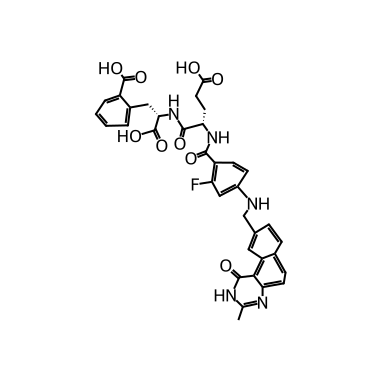 Cc1nc2ccc3ccc(CNc4ccc(C(=O)N[C@@H](CCC(=O)O)C(=O)N[C@@H](Cc5ccccc5C(=O)O)C(=O)O)c(F)c4)cc3c2c(=O)[nH]1